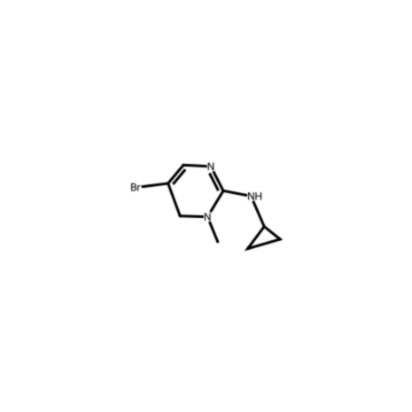 CN1CC(Br)=CN=C1NC1CC1